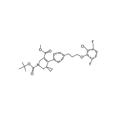 COC(=O)C1=C(c2ccc(CCCOc3c(F)ccc(F)c3Cl)cc2)C2(CC2)CN(C(=O)OC(C)(C)C)C1